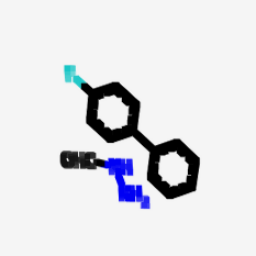 Fc1ccc(-c2ccccc2)cc1.NNC=O